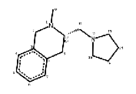 CN1Cc2ccccc2C[C@H]1CN1CCCC1